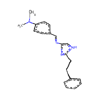 CN(C)c1ccc(C=Nc2c[nH]c(CCc3ccccc3)n2)cc1